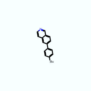 CCC(C)c1ccc(-c2ccc3cnccc3c2)cc1